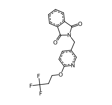 O=C1c2ccccc2C(=O)N1Cc1ccc(OCCC(F)(F)F)nc1